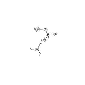 CN(C)C.NO[PH](=O)O